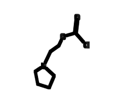 O=C(Cl)OCCN1CCCC1